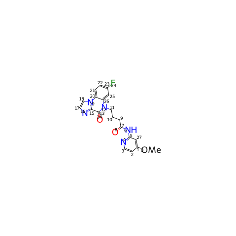 COc1ccnc(NC(=O)CCCn2c(=O)c3nccn3c3ccc(F)cc32)c1